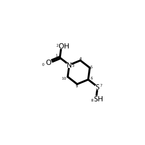 O=C(O)N1CCC(SS)CC1